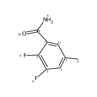 Cc1cc(F)c(F)c(C(N)=O)c1